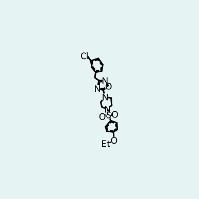 CCOc1ccc(S(=O)(=O)N2CCN(c3nc(Cc4cccc(Cl)c4)no3)CC2)cc1